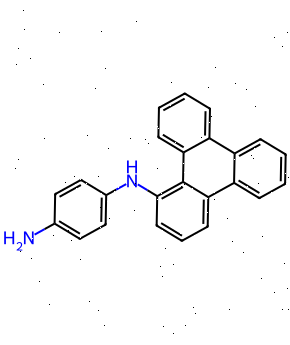 Nc1ccc(Nc2cccc3c4ccccc4c4ccccc4c23)cc1